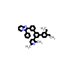 C=Cc1ccc(-c2cc(-c3cccc(-c4nc5ccccn5c4-c4ccccc4)c3)cc(-c3ccc(C)nc3C)c2)cc1C=C